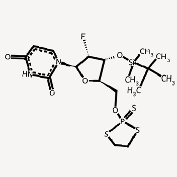 CC(C)(C)[Si](C)(C)O[C@H]1[C@@H](F)[C@H](n2ccc(=O)[nH]c2=O)O[C@@H]1COP1(=S)SCCS1